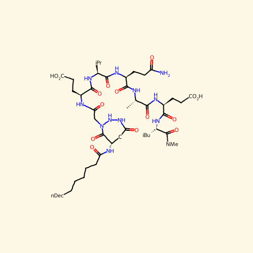 CCCCCCCCCCCCCCCC(=O)N[C@H]1CC(=O)NNN(CC(=O)N[C@@H](CCC(=O)O)C(=O)N[C@H](C(=O)N[C@@H](CCC(N)=O)C(=O)N[C@@H](C)C(=O)N[C@@H](CCC(=O)O)C(=O)N[C@H](C(=O)NC)[C@@H](C)CC)C(C)C)C1=O